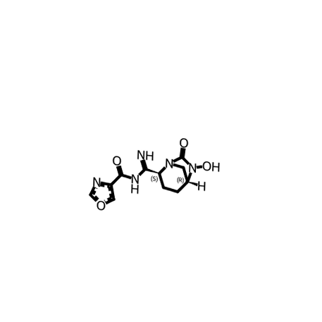 N=C(NC(=O)c1cocn1)[C@@H]1CC[C@@H]2CN1C(=O)N2O